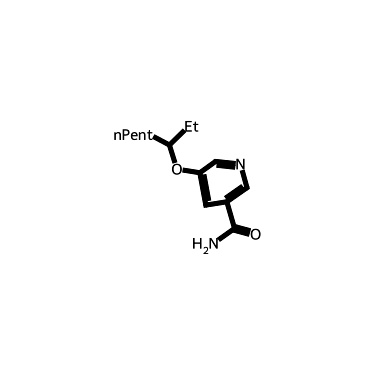 CCCCCC(CC)Oc1cncc(C(N)=O)c1